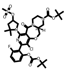 CC(C)(C)OC(=O)Oc1cccc(F)c1-c1nc(N2CC(OS(C)(=O)=O)CC2(C)C)c2c(c1Cl)OC[C@H]1CN(C(=O)OC(C)(C)C)CCN1C2=O